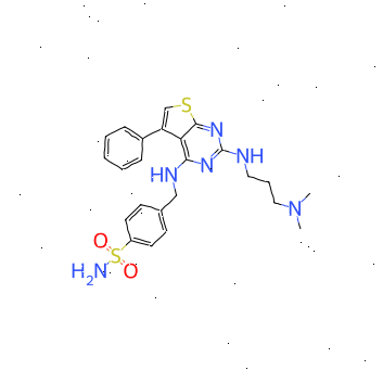 CN(C)CCCNc1nc(NCc2ccc(S(N)(=O)=O)cc2)c2c(-c3ccccc3)csc2n1